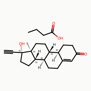 C#C[C@]1(O)CC[C@H]2[C@@H]3CCC4=CC(=O)CC[C@@H]4[C@H]3CC[C@@]21C.CCCC(=O)O